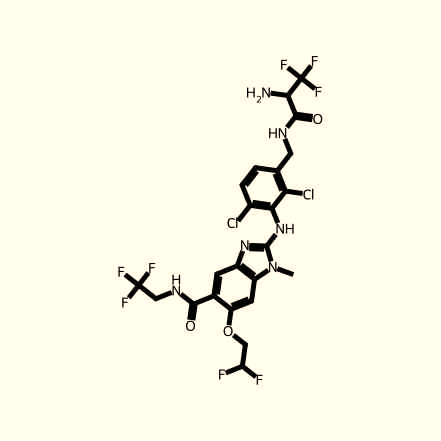 Cn1c(Nc2c(Cl)ccc(CNC(=O)C(N)C(F)(F)F)c2Cl)nc2cc(C(=O)NCC(F)(F)F)c(OCC(F)F)cc21